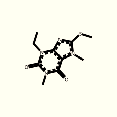 CCn1c(=O)n(C)c(=O)c2c1nc(SC)n2C